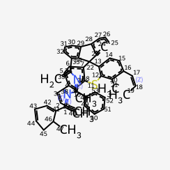 C#C/C=C\c1ccc2c(c1C)Sc1c(ccc(/C=C\C)c1C)C21c2ccccc2-c2cccc(C(=C)/N=C(\N=C(/C)C3=CC=CCC3C)c3ccccc3)c21